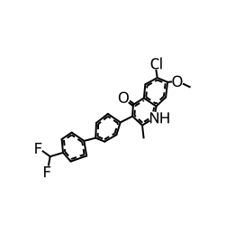 COc1cc2[nH]c(C)c(-c3ccc(-c4ccc(C(F)F)cc4)cc3)c(=O)c2cc1Cl